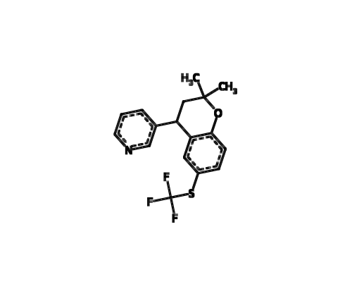 CC1(C)CC(c2cccnc2)c2cc(SC(F)(F)F)ccc2O1